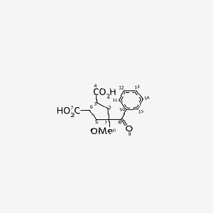 COC(CCC(=O)O)(CCC(=O)O)C(=O)c1ccccc1